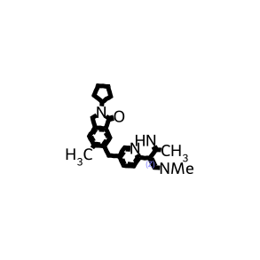 CN/C=C(\C(C)=N)c1ccc(Cc2cc3c(cc2C)CN(C2CCCC2)C3=O)cn1